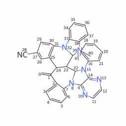 C=C1c2ccccc2N2c3nccnc3N(c3ccccc3)C2C2C1c1cc(C#N)ccc1N1c3ccccc3N(C)C21